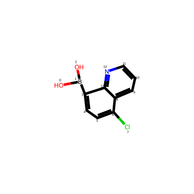 OB(O)c1ccc(Cl)c2cccnc12